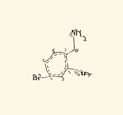 CC(C)c1cc(Br)ccc1CN